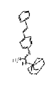 NC(=Nc1ccc(C=Cc2ccccc2)cc1)NC12CC3CC(CC(C3)C1)C2